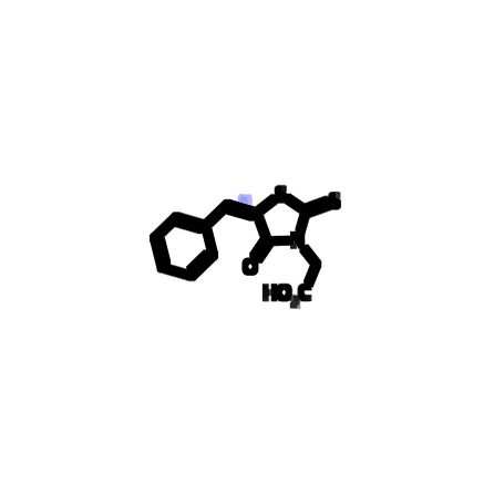 O=C(O)CN1C(=O)/C(=C\c2ccccc2)SC1=S